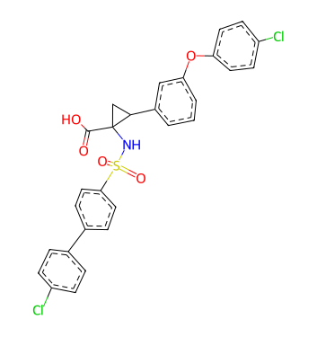 O=C(O)C1(NS(=O)(=O)c2ccc(-c3ccc(Cl)cc3)cc2)CC1c1cccc(Oc2ccc(Cl)cc2)c1